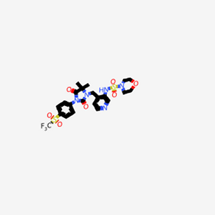 CC1(C)C(=O)N(c2ccc(S(=O)(=O)C(F)(F)F)cc2)C(=O)N1Cc1ccncc1NS(=O)(=O)N1CCOCC1